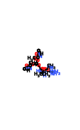 CNCC(=O)C(=O)[C@H](CCCNC(=N)N)NC(=O)[C@@H](NC(=O)CCCOc1cc(COc2cc3c(cc2C)C(=O)N2c4ccccc4C[C@H]2C=N3)cc(COc2cc3c(cc2OC)C(=O)N2c4ccccc4C[C@H]2C=N3)c1)C(C)C